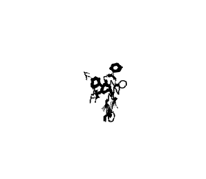 C=CC(=O)N1[C@H](C)CN(c2nc(=O)n3c4c(c(-c5ccc(F)cc5)c(C(F)(F)F)cc24)SC[C@H](c2ccccc2)C3)C[C@@H]1C